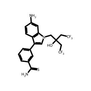 NC(=S)c1cccc(-c2cn(CC(O)(CC(F)(F)F)CC(F)(F)F)c3cc(N)ccc23)c1